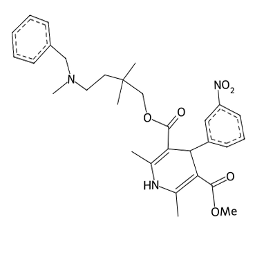 COC(=O)C1=C(C)NC(C)=C(C(=O)OCC(C)(C)CCN(C)Cc2ccccc2)C1c1cccc([N+](=O)[O-])c1